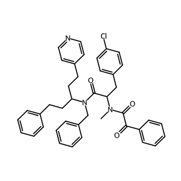 CN(C(=O)C(=O)c1ccccc1)C(Cc1ccc(Cl)cc1)C(=O)N(Cc1ccccc1)C(CCc1ccccc1)CCc1ccncc1